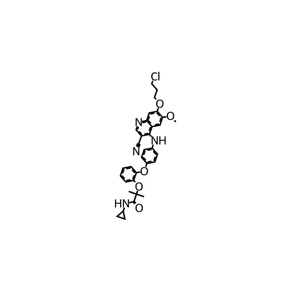 COc1cc2c(Nc3ccc(Oc4ccccc4OC(C)(C)C(=O)NC4CC4)cc3)c(C#N)cnc2cc1OCCCCl